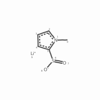 Cn1cccc1S(=O)[O-].[Li+]